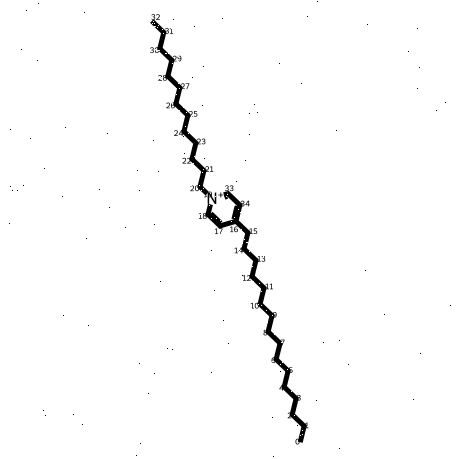 CCCCCCCCCCCCCCCCc1cc[n+](CCCCCCCCCCCCC)cc1